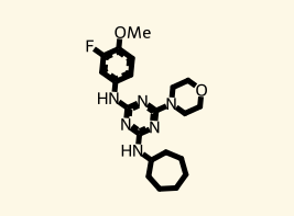 COc1ccc(Nc2nc(NC3CCCCCC3)nc(N3CCOCC3)n2)cc1F